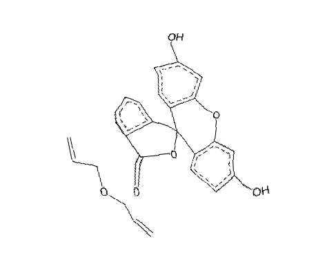 C=CCOCC=C.O=C1OC2(c3ccc(O)cc3Oc3cc(O)ccc32)c2ccccc21